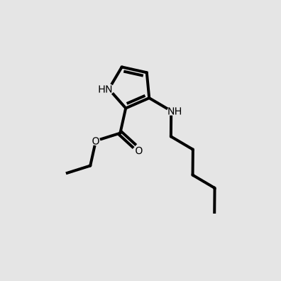 CCCCCNc1cc[nH]c1C(=O)OCC